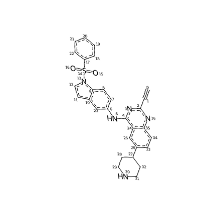 C#Cc1nc(Nc2ccc3c(ccn3S(=O)(=O)c3ccccc3)c2)c2cc(C3CCNCC3)ccc2n1